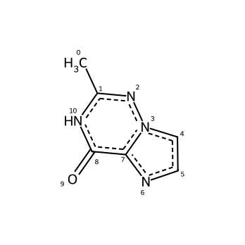 Cc1nn2ccnc2c(=O)[nH]1